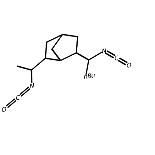 CCCCC(N=C=O)C1CC2CC(C(C)N=C=O)C1C2